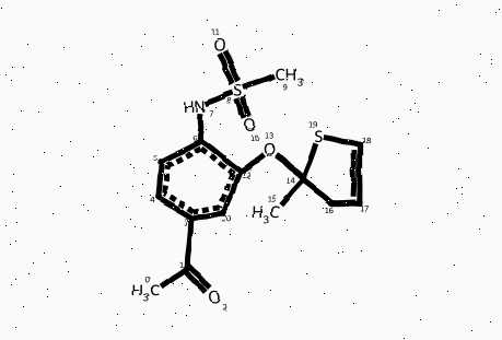 CC(=O)c1ccc(NS(C)(=O)=O)c(OC2(C)CC=CS2)c1